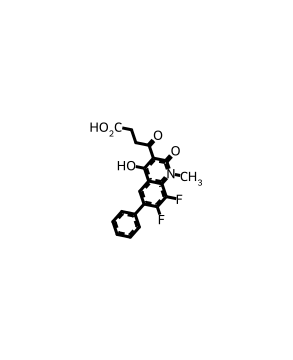 Cn1c(=O)c(C(=O)CCC(=O)O)c(O)c2cc(-c3ccccc3)c(F)c(F)c21